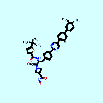 Cc1ccc(-c2ccc(-c3cnc(-c4ccc(C[C@H](NC(=O)c5ccc(C(C)(C)C)s5)C(=C=O)N5CC(C(=O)N=O)C5)cc4)nc3)c(F)c2)cc1C